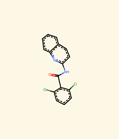 O=C(Nc1ccc2ccccc2n1)c1c(Cl)cccc1Cl